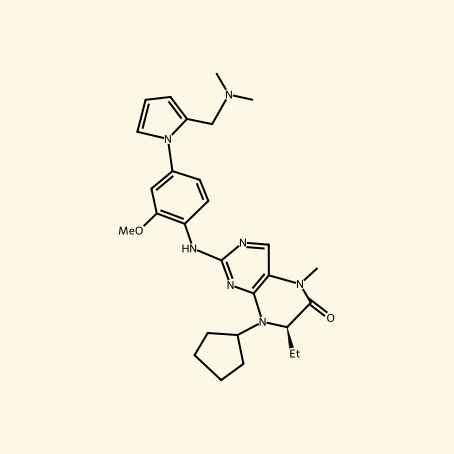 CC[C@@H]1C(=O)N(C)c2cnc(Nc3ccc(-n4cccc4CN(C)C)cc3OC)nc2N1C1CCCC1